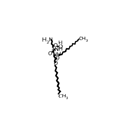 CCCCCCCCCCCCCCOCC(CNC(=O)[C@H](CCCCN)NC(=O)O)OCCCCCCCCCCCCCC